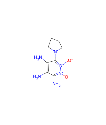 Nc1c(N)c(N2CCCC2)[n+]([O-])[n+]([O-])c1N